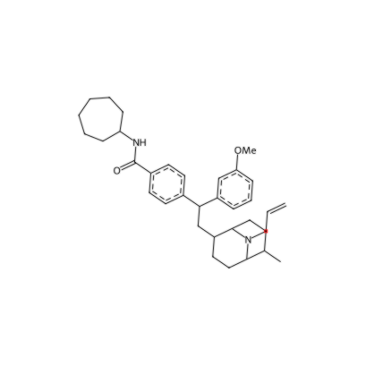 C=CCN1C2CCC(CC(c3ccc(C(=O)NC4CCCCCC4)cc3)c3cccc(OC)c3)C1CCC2C